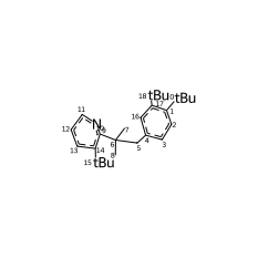 CC(C)(C)c1ccc(CC(C)(C)c2ncccc2C(C)(C)C)cc1C(C)(C)C